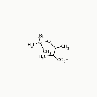 CC(O[Si](C)(C)C(C)(C)C)C(C)C(=O)O